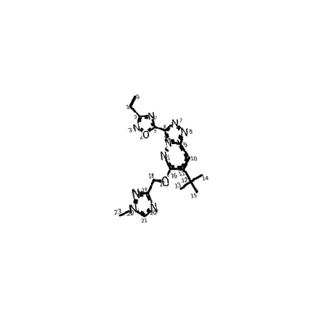 CCc1noc(-c2nnc3cc(C(C)(C)C)c(OCc4ncn(C)n4)nn23)n1